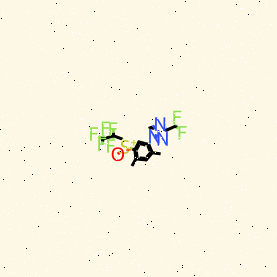 Cc1cc(C)c([S+]([O-])CC(F)(F)C(F)(F)F)cc1-n1cnc(C(F)F)n1